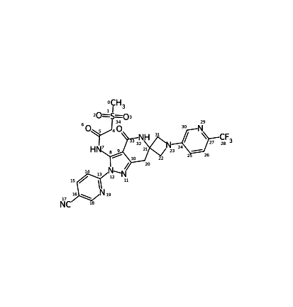 CS(=O)(=O)CC(=O)Nc1c2c(nn1-c1ccc(C#N)cn1)CC1(CN(c3ccc(C(F)(F)F)nc3)C1)NC2=O